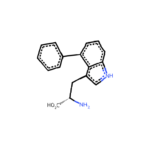 N[C@@H](Cc1c[nH]c2cccc(-c3ccccc3)c12)C(=O)O